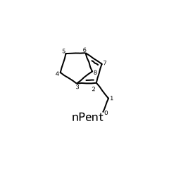 CCCCCCC1=C2CCC(=C1)C2